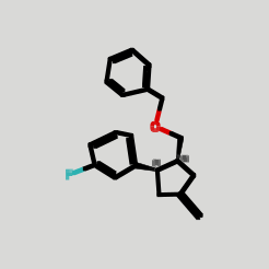 C=C1C[C@H](COCc2ccccc2)[C@H](c2cccc(F)c2)C1